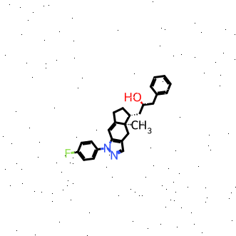 C[C@]12Cc3cnn(-c4ccc(F)cc4)c3C=C1CC[C@@H]2C[C@@H](O)Cc1ccccc1